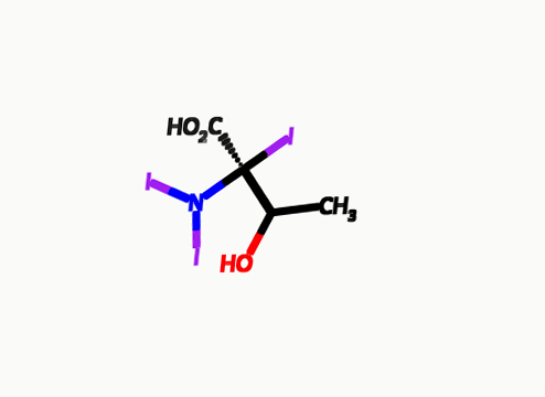 CC(O)[C@@](I)(C(=O)O)N(I)I